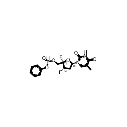 Cc1cn([C@H]2C[C@H](F)[C@@](F)(CO[PH](=O)Oc3ccccc3)O2)c(=O)[nH]c1=O